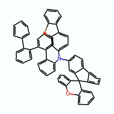 c1ccc(-c2ccccc2-c2ccccc2-c2ccccc2N(c2ccc3c(c2)C2(c4ccccc4Oc4ccccc42)c2ccccc2-3)c2ccc3c(c2)sc2ccccc23)cc1